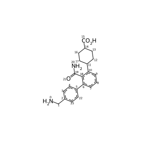 NCc1ccc(-c2cccc(C3CCC(C(=O)O)CC3)c2C(N)=O)cc1